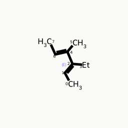 C/[C]=C(\CC)C(C)=CC